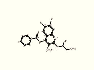 CCOC(=O)c1c(SC(Cl)COC(C)=O)nc2cc(F)c(F)cc2c1OC(=O)c1ccccc1